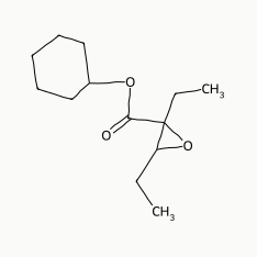 CCC1OC1(CC)C(=O)OC1CCCCC1